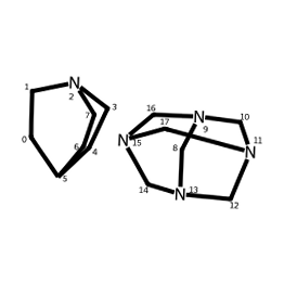 C1CN2CCC1CC2.C1N2CN3CN1CN(C2)C3